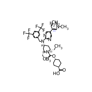 C=C/C(=C\N(C)N)c1cnc(N(Cc2cc(C(F)(F)F)cc(C(F)(F)F)c2)[C@H]2C[C@@H](CC)N(C(=O)O[C@H]3CC[C@H](C(=O)O)CC3)[C@@H](CC)C2)nc1